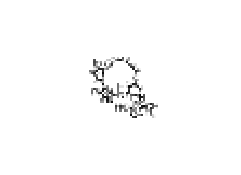 C[SH](O)(Cc1cc2cc(c1)OCCCCCOc1cc(ccc1F)-c1nc(ncc1F)N2)=NC(=O)O